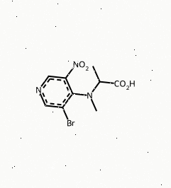 CC(C(=O)O)N(C)c1c(Br)cncc1[N+](=O)[O-]